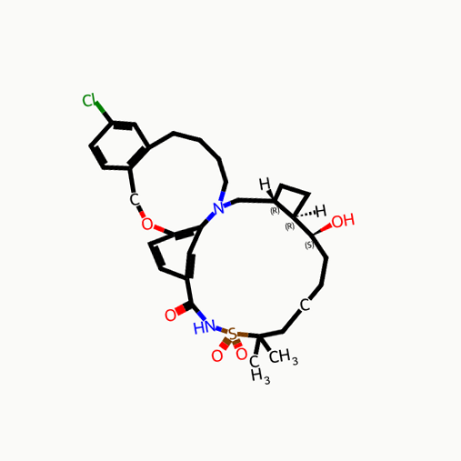 CC1(C)CCCC[C@H](O)[C@@H]2CC[C@H]2CN2CCCCc3cc(Cl)ccc3COc3ccc(cc32)C(=O)NS1(=O)=O